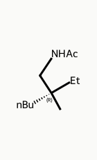 CCCC[C@@](C)(CC)CNC(C)=O